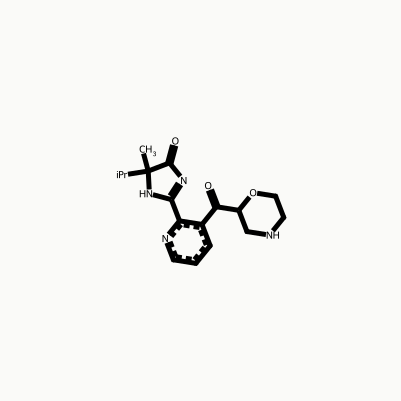 CC(C)C1(C)NC(c2ncccc2C(=O)C2CNCCO2)=NC1=O